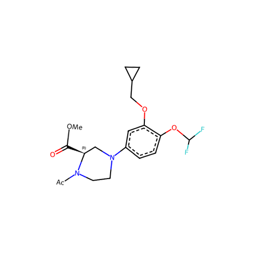 COC(=O)[C@H]1CN(c2ccc(OC(F)F)c(OCC3CC3)c2)CCN1C(C)=O